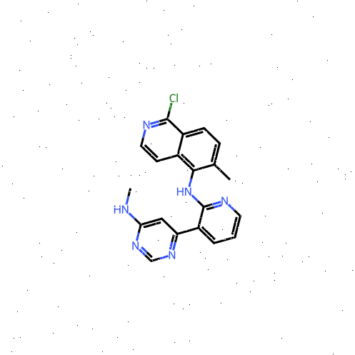 CNc1cc(-c2cccnc2Nc2c(C)ccc3c(Cl)nccc23)ncn1